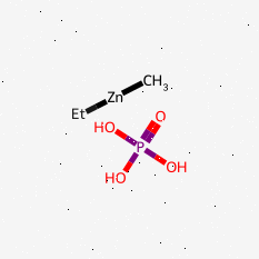 C[CH2][Zn][CH3].O=P(O)(O)O